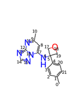 Cc1ccc(C2(Nc3cc(C)nc4ncnn34)COC2)cc1